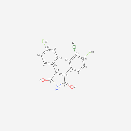 O=C1NC(=O)C(c2ccc(F)c(Cl)c2)=C1c1ccc(F)cc1